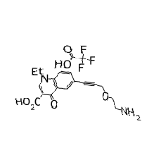 CCn1cc(C(=O)O)c(=O)c2cc(C#CCOCCN)ccc21.O=C(O)C(F)(F)F